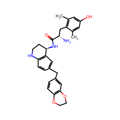 Cc1cc(O)cc(C)c1C[C@H](N)C(=O)N[C@@H]1CCNc2ccc(Cc3ccc4c(c3)OCCO4)cc21